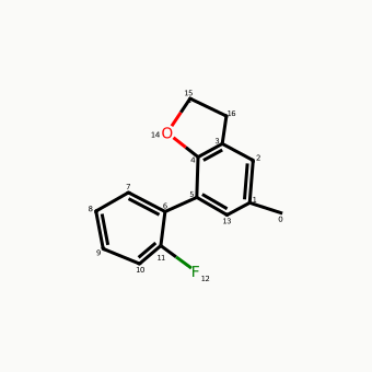 Cc1cc2c(c(-c3ccccc3F)c1)O[CH]C2